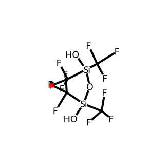 O[Si](O[Si](O)(C(F)(F)F)C(F)(F)F)(C(F)(F)F)C(F)(F)F